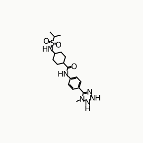 CC(C)S(=O)(=O)NC1CCC(C(=O)Nc2ccc(C3=NNNN3C)cc2)CC1